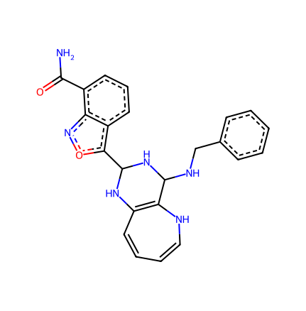 NC(=O)c1cccc2c(C3NC4=C(NC=CC=C4)C(NCc4ccccc4)N3)onc12